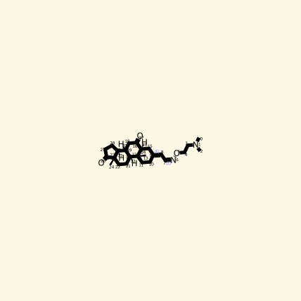 CN(C)CCO/N=C\C=C1/CC[C@@]2(C)[C@H](C1)C(=O)C[C@@H]1[C@@H]2CC[C@]2(C)C(=O)CC[C@@H]12